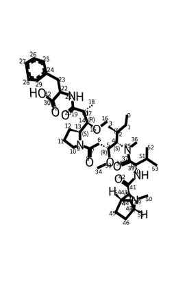 CC[C@H](C)[C@@H]([C@@H](CC(=O)N1CCC[C@H]1[C@H](OC)[C@@H](C)C(=O)NC(Cc1ccccc1)C(=O)O)OC)N(C)C(=O)[C@@H](NC(=O)[C@@H]1[C@H]2CC[C@H](C2)N1C)C(C)C